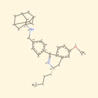 CCCC[C@H]1Cc2cc(OC)ccc2C(c2ccc(CNC34CC5CC(CC(C5)C3)C4)cc2)=N1